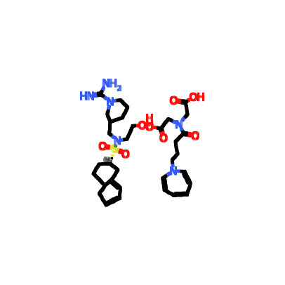 N=C(N)N1CCCC(CN(CCO)S(=O)(=O)[C@H]2CCC3CC=CC=C3C2)C1.O=C(O)CN(CC(=O)O)C(=O)CCCN1C=CC=CC=C1